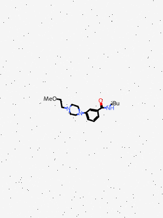 CCC(C)NC(=O)c1cccc(N2CCN(CCOC)CC2)c1